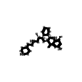 CC1c2cc(Br)cc(F)c2N[C@@H](C2C=CC=CC2)[C@@H]1CC[C@@H](C)CNCCC1CCNCC1